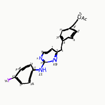 CC(=O)Oc1ccc(Cc2ccnc(Nc3ccc(I)cc3)n2)cc1